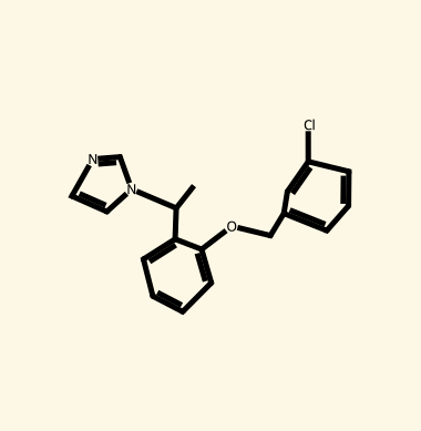 CC(c1ccccc1OCc1cccc(Cl)c1)n1ccnc1